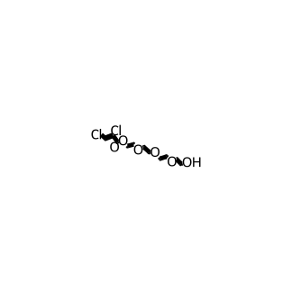 O=C(OCCOCCOCCOCCO)/C(Cl)=C/Cl